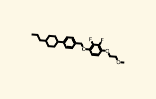 CCCC1CCC(c2ccc(COc3ccc(OCCOC)c(F)c3F)cc2)CC1